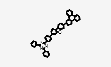 c1ccc(-c2nc(-c3ccccc3)nc(-c3ccc(-c4ccc5c(c4)oc4cc(-c6ccc7c8ccccc8c8ccccc8c7c6)ccc45)cc3)n2)cc1